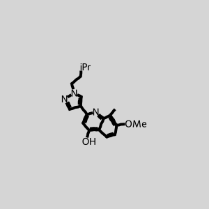 COc1ccc2c(O)cc(-c3cnn(CCC(C)C)c3)nc2c1C